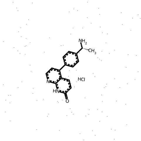 C[C@@H](N)c1ccc(-c2ccnc3[nH]c(=O)ccc23)cc1.Cl